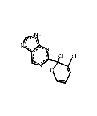 ClC1=CC=COC1(Cl)c1ncc2nc[nH]c2n1